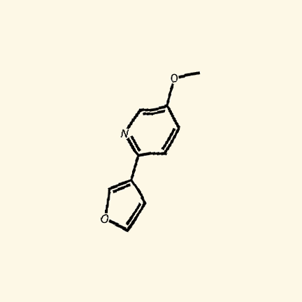 COc1ccc(-c2ccoc2)nc1